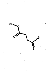 CCOC(=O)CCC(=O)[S]